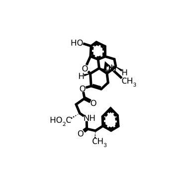 C[C@H](C(=O)N[C@@H](CC(=O)OC1=CC[C@@]2(O)[C@H]3Cc4ccc(O)c5c4[C@@]2(CCN3C)[C@H]1O5)C(=O)O)c1ccccc1